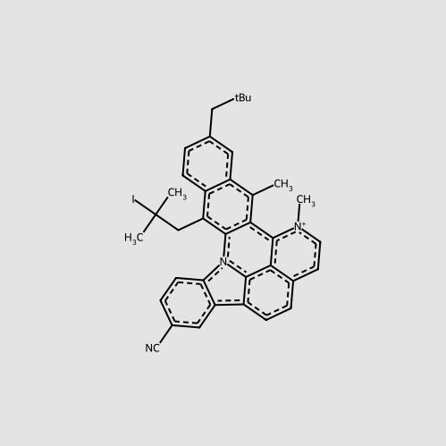 Cc1c2cc(CC(C)(C)C)ccc2c(CC(C)(C)I)c2c1c1c3c(ccc4c5cc(C#N)ccc5n2c43)cc[n+]1C